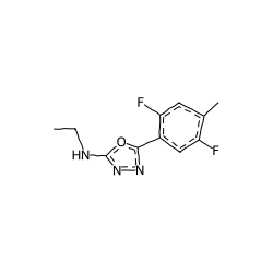 CCNc1nnc(-c2cc(F)c(C)cc2F)o1